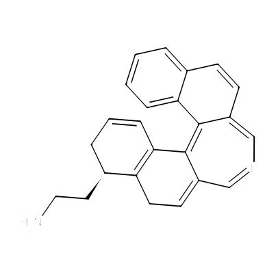 NCC[C@H]1CC=CC2=C1CC=C1C=PC=c3ccc4ccccc4c3=C12